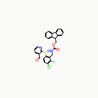 O=Cc1cccnc1Sc1ccc(Cl)c(F)c1CNC(=O)OCC1c2ccccc2-c2ccccc21